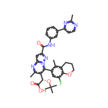 Cc1nccc(-c2cccc(NC(=O)c3cc4nc(C)c([C@H](OC(C)(C)C)C(=O)O)c(-c5cc(F)c6c(c5C)CCCO6)n4n3)c2)n1